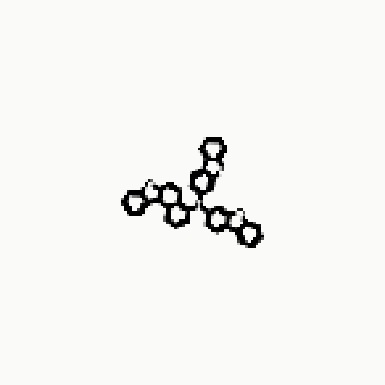 c1ccc2c(c1)oc1cc(N(c3ccc4c(c3)sc3ccccc34)c3cccc4c3ccc3oc5ccccc5c34)ccc12